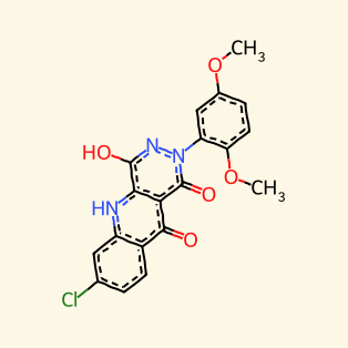 COc1ccc(OC)c(-n2nc(O)c3[nH]c4cc(Cl)ccc4c(=O)c3c2=O)c1